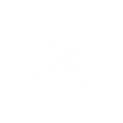 CCc1nc(-c2ccccc2)nc(-c2cccc([N+](=O)[O-])c2)c1C(=O)O